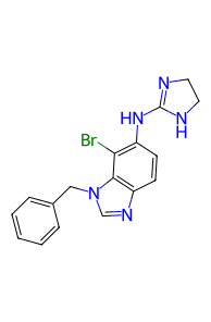 Brc1c(NC2=NCCN2)ccc2ncn(Cc3ccccc3)c12